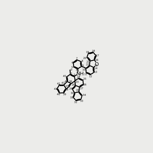 CC1=C(Nc2ccccc2-c2cccc3oc4ccccc4c23)C2(C=CC=C3C2=Cc2ccccc23)C2=Cc3ccccc3C2=C1